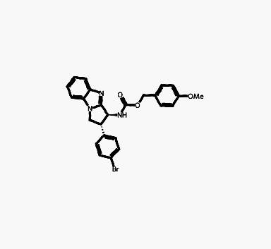 COc1ccc(COC(=O)N[C@@H]2c3nc4ccccc4n3C[C@H]2c2ccc(Br)cc2)cc1